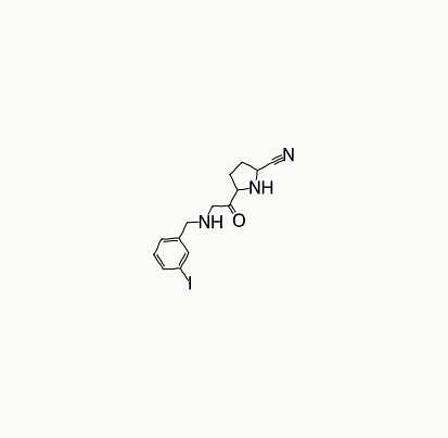 N#CC1CCC(C(=O)CNCc2cccc(I)c2)N1